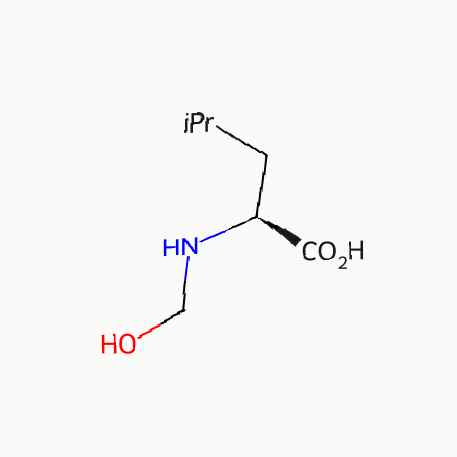 CC(C)C[C@H](NCO)C(=O)O